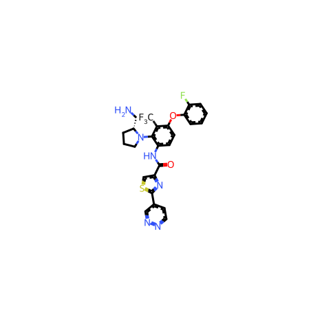 NC[C@H]1CCCN1c1c(NC(=O)c2csc(-c3ccnnc3)n2)ccc(Oc2ccccc2F)c1C(F)(F)F